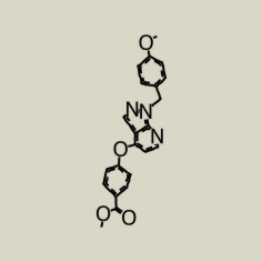 COC(=O)c1ccc(Oc2ccnc3c2cnn3Cc2ccc(OC)cc2)cc1